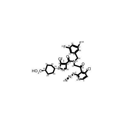 [N-]=[N+]=Nc1nccc(Cl)c1C(=O)CN(Cc1cc(F)cc(F)c1)C(=O)c1cnn([C@H]2CC[C@H](C(=O)O)CC2)c1C(F)(F)F